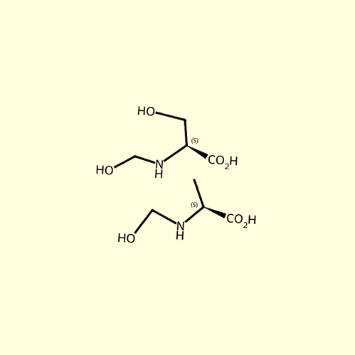 C[C@H](NCO)C(=O)O.O=C(O)[C@H](CO)NCO